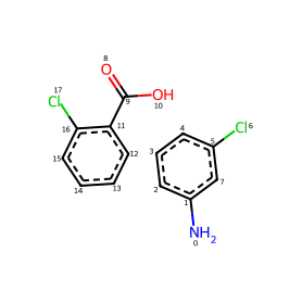 Nc1cccc(Cl)c1.O=C(O)c1ccccc1Cl